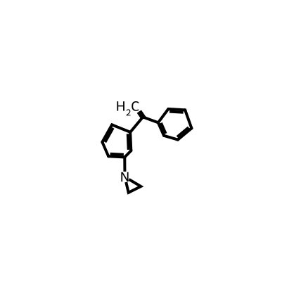 C=C(c1ccccc1)c1cccc(N2CC2)c1